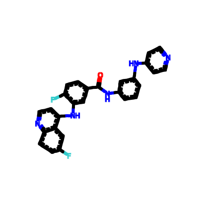 O=C(Nc1cccc(Nc2ccncc2)c1)c1ccc(F)c(Nc2ccnc3ccc(F)cc23)c1